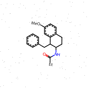 CCC(=O)NC1CCc2ccc(OC)cc2C1Cc1ccccc1